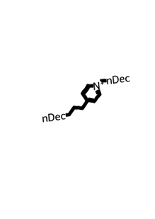 CCCCCCCCCCCCCc1cc[n+](CCCCCCCCCCC)cc1